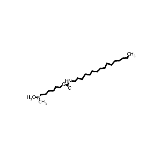 CCCCCCCCCCCCCCCCNC(=O)OCCCCCCN(C)C